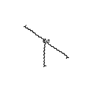 CC[O][Ti](=[O])([O]C(=O)CCCCCCCCCCCCCCC(C)C)([C](=O)CCCCCCCCCCCCCCC(C)C)[C](=O)CCCCCCCCCCCCCCC(C)C